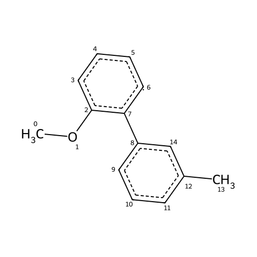 COc1ccc[c]c1-c1cccc(C)c1